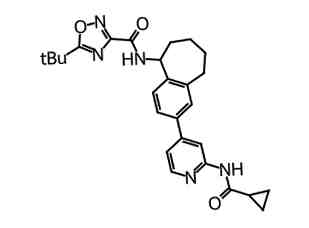 CC(C)(C)c1nc(C(=O)NC2CCCCc3cc(-c4ccnc(NC(=O)C5CC5)c4)ccc32)no1